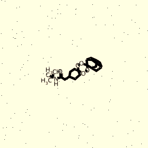 CC(C)(C)NC(=O)CC1CCC2(CC1)OOC1(OO2)C2CC3CC(C2)CC1C3